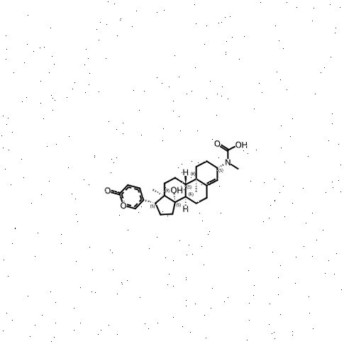 CN(C(=O)O)[C@@H]1C=C2CC[C@@H]3[C@H](CC[C@]4(C)[C@@H](c5ccc(=O)oc5)CC[C@]34O)[C@@]2(C)CC1